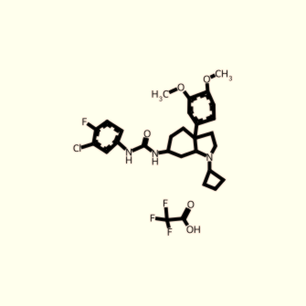 COc1ccc(C23CCC(NC(=O)Nc4ccc(F)c(Cl)c4)CC2N(C2CCC2)CC3)cc1OC.O=C(O)C(F)(F)F